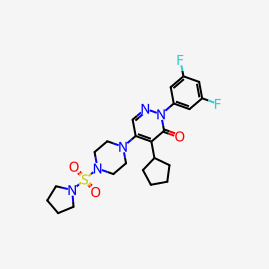 O=c1c(C2CCCC2)c(N2CCN(S(=O)(=O)N3CCCC3)CC2)cnn1-c1cc(F)cc(F)c1